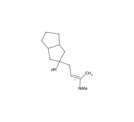 CCCC1(C/C=C(\C)NC)CC2CCCC2C1